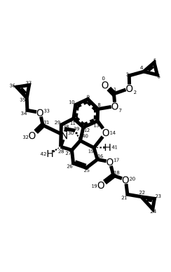 O=C(OCC1=CC1)Oc1ccc2c3c1O[C@H]1C(OC(=O)OCC4=CC4)C=CC4[C@@H](C2)N(C(=O)OCC2=CC2)CC[C@@]341